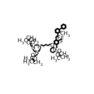 Cc1c(/C=C/c2cc(OCCCCCN3CCN(CC(=O)OC(C)(C)C)CCN(CC(=O)OC(C)(C)C)CC3)c(CN3CCCC[C@H]3C(=O)OC(C)(C)C)cc2C(F)(F)F)cccc1-c1ccccc1